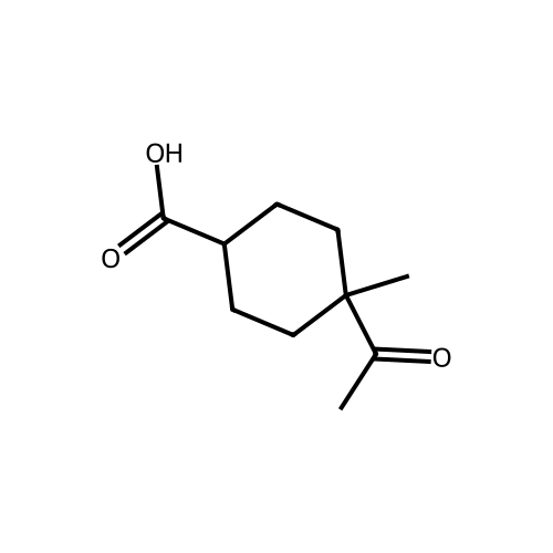 CC(=O)C1(C)CCC(C(=O)O)CC1